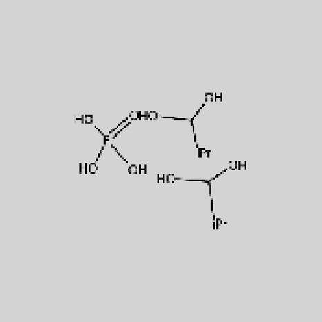 CC(C)C(O)O.CC(C)C(O)O.O=P(O)(O)O